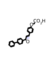 O=C(O)COc1ccc(/C=C/C(=O)c2ccc(-c3ccccc3)cc2)cc1